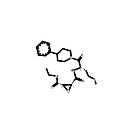 CCOC(=O)[C@H]1O[C@@H]1C(=O)N[C@@H](CCSC)C(=O)N1CCC(c2ccccc2)CC1